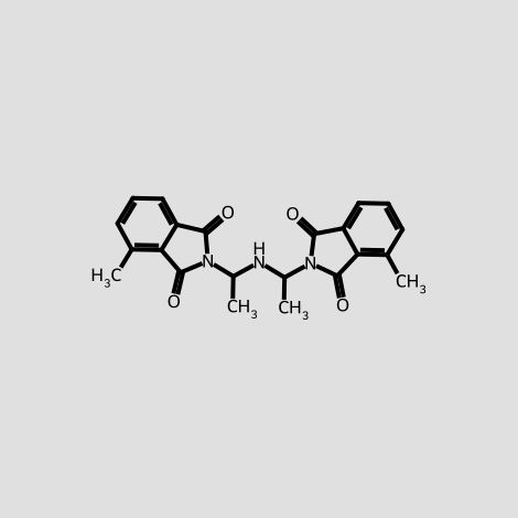 Cc1cccc2c1C(=O)N(C(C)NC(C)N1C(=O)c3cccc(C)c3C1=O)C2=O